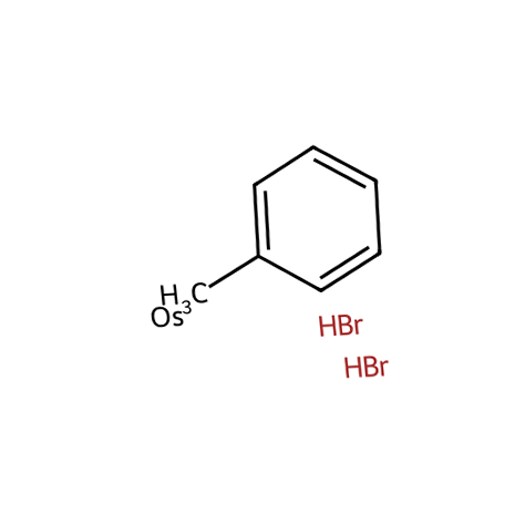 Br.Br.Cc1ccccc1.[Os]